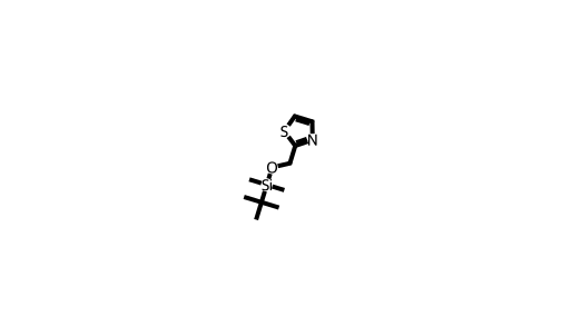 CC(C)(C)[Si](C)(C)OCc1nccs1